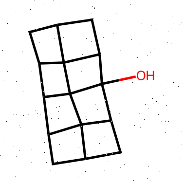 OC12C3CC4CC5C6C7CC8CC1C87C62C453